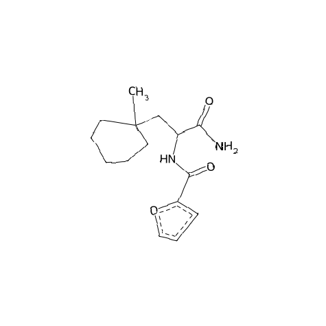 CC1(CC(NC(=O)c2ccco2)C(N)=O)CCCCC1